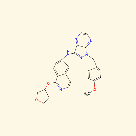 COc1ccc(Cn2nc(Nc3ccc4c(OC5CCOC5)nccc4c3)c3nccnc32)cc1